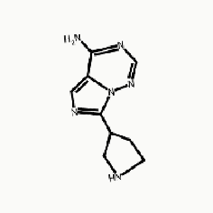 Nc1ncnn2c(C3CCNC3)ncc12